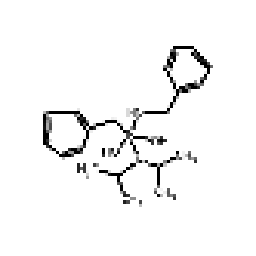 CC(C)N(C(C)C)P(O)(O)(Cc1ccccc1)NCc1ccccc1